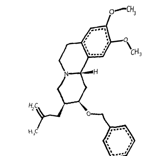 C=C(C)C[C@H]1CN2CCc3cc(OC)c(OC)cc3[C@@H]2C[C@H]1OCc1ccccc1